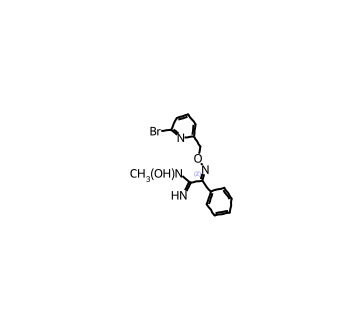 CN(O)C(=N)/C(=N\OCc1cccc(Br)n1)c1ccccc1